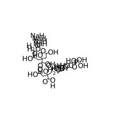 O.O.O.O.O.O.O.O=C(O)CC(O)(CC(=O)O)C(=O)O.O=C(O)CC(O)(CC(=O)O)C(=O)O.O=P(O)(O)O.[NaH].[NaH].[NaH].[NaH]